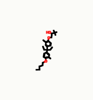 CCCCCOc1ccc(C(CC)(CC)c2ccc(OCC(O)C(C)(C)C)c(C)c2)cc1C